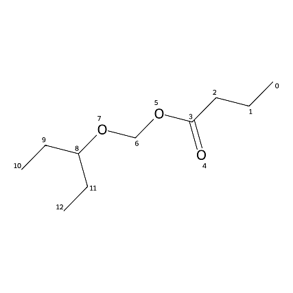 CCCC(=O)OCOC(CC)CC